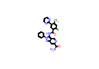 NC(=O)c1cc2nn(-c3ccccc3)c(NC(=O)c3cc(-c4ncccn4)c(C(F)(F)F)cc3F)c2cn1